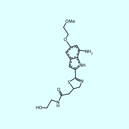 COCCOc1cc(N)c2[nH]c(C3=NCC(CC(=O)NCCO)S3)cc2c1